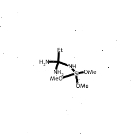 CCC(N)(N)N[Si](OC)(OC)OC